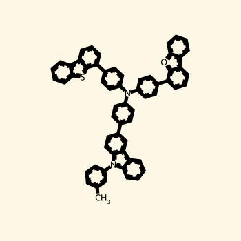 Cc1cccc(-n2c3ccccc3c3cc(-c4ccc(N(c5ccc(-c6cccc7c6oc6ccccc67)cc5)c5ccc(-c6cccc7c6sc6ccccc67)cc5)cc4)ccc32)c1